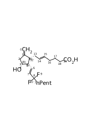 C=C1C[C@@H](O)[C@@H](C=CC(F)(F)CCCCC)[C@H]1CC=CCCCC(=O)O